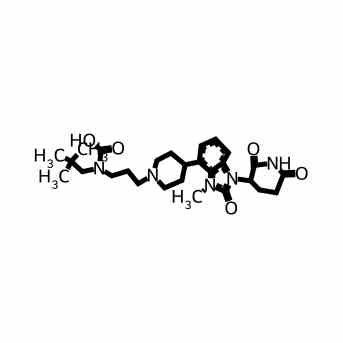 Cn1c(=O)n(C2CCC(=O)NC2=O)c2cccc(C3CCN(CCCN(CC(C)(C)C)C(=O)O)CC3)c21